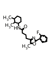 Cc1oc(-c2ccccc2F)nc1CCCC(=O)NC1CCCC(C)C1C